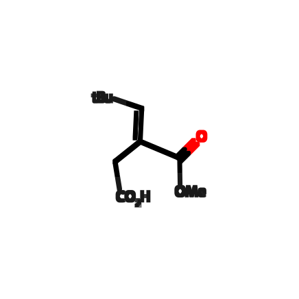 COC(=O)/C(=C/C(C)(C)C)CC(=O)O